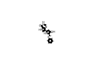 O=c1[nH]cnc2c([C@H]3CC(O)[C@@H](CSc4ccccc4)N3)c[nH]c12